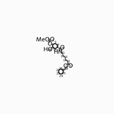 COC(=O)Oc1ccc(C(=O)NCCCCCC(=O)OCc2ccccc2)cc1O